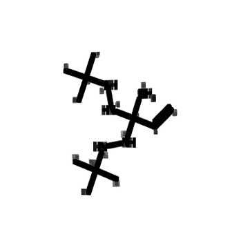 C=CC([SiH3])(NNC(C)(C)C)NNC(C)(C)C